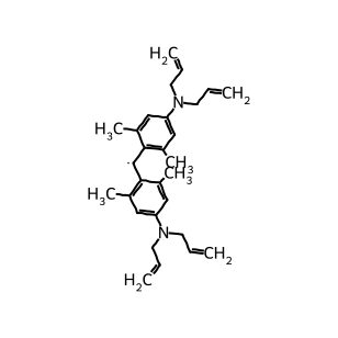 C=CCN(CC=C)c1cc(C)c([CH]c2c(C)cc(N(CC=C)CC=C)cc2C)c(C)c1